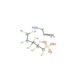 C=CCN.O=S(=O)(O)C(F)C(F)(F)C(F)(F)C(F)C(F)F